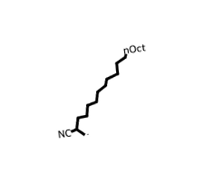 [CH2]C(C#N)CCCCCCCCCCCCCCCCCC